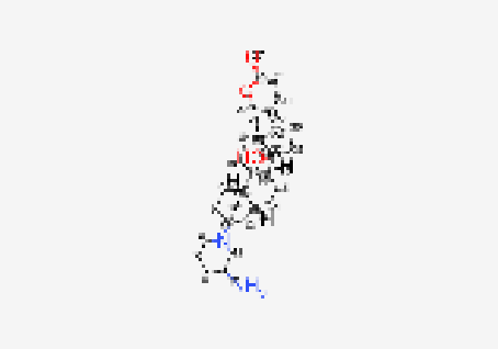 C[C@]12CC[C@H](N3CCCC(N)C3)C[C@H]1CC[C@@H]1[C@@H]2CC[C@]2(C)[C@@H](c3ccc(=O)oc3)CC[C@]12O